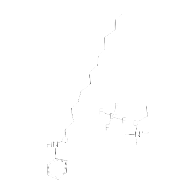 CCCCCCCCCCCCCCONc1ccccc1.CCO[N+](C)(C)C.F[B-](F)(F)F